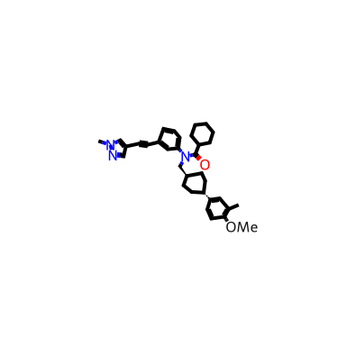 COc1ccc([C@H]2CC[C@H](CN(C(=O)C3CCCCC3)c3cccc(C#Cc4cnn(C)c4)c3)CC2)cc1C